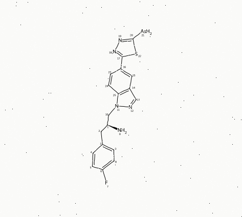 N[C@@H](Cc1ccc(F)cc1)Cn1ncc2cc(-c3nnc([AsH2])s3)ccc21